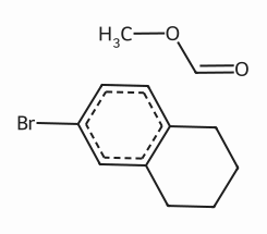 Brc1ccc2c(c1)CCCC2.COC=O